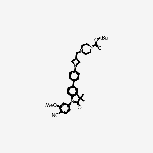 COc1cc(N2C(=O)C(C)(C)c3cc(-c4ccc(N5CC(CN6CCN(C(=O)OC(C)(C)C)CC6)C5)cc4)ccc32)ccc1C#N